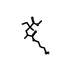 CCC(C)(CC(C)C(=O)OCCCO)C(=O)OC